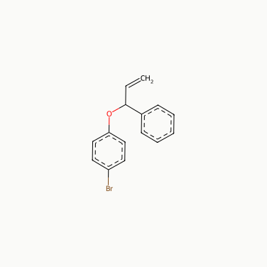 C=CC(Oc1ccc(Br)cc1)c1ccccc1